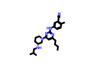 CCCCc1cc(N2CCC[C@@H](NCC(C)C)C2)nc(Nc2ccc(C)c(C#N)c2)n1